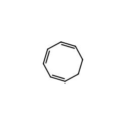 [C]1=CC=CC=CCC1